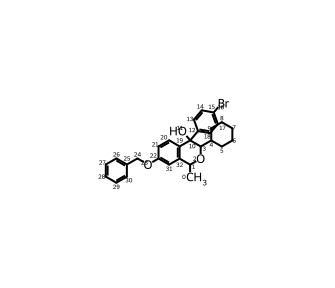 CC1OC(C2CCCCC2)C(O)(c2ccc(Br)cc2)c2ccc(OCc3ccccc3)cc21